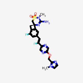 CN1C(N)=N[C@@]2(Cc3c(F)cc(/C=C(\F)c4cnc(OCc5nccn5C)cn4)cc32)CS1(=O)=O